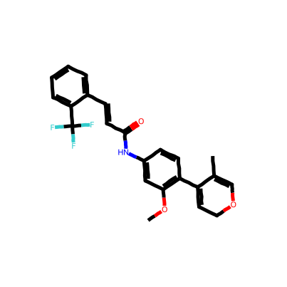 COc1cc(NC(=O)C=Cc2ccccc2C(F)(F)F)ccc1C1=CCOC=C1C